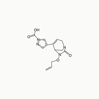 C=CCON1C(=O)N2CC=C(c3cnn(C(=O)O)c3)C1C2